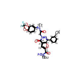 CCN(C(=O)Cn1nc(-c2cccc(C#N)c2)c2oc(C(=O)NC(C)(C)C)cc2c1=O)c1ccc2c(c1)OC(F)(F)O2